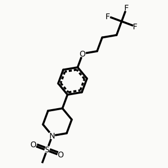 CS(=O)(=O)N1CCC(c2ccc(OCCCC(F)(F)F)cc2)CC1